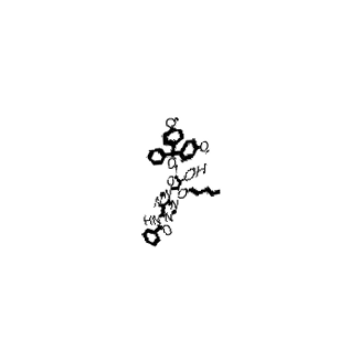 CCCCCO[C@@H]1[C@H](O)[C@@H](COC(c2ccccc2)(c2ccc(OC)cc2)c2ccc(OC)cc2)O[C@H]1n1cnc2c(NC(=O)c3ccccc3)ncnc21